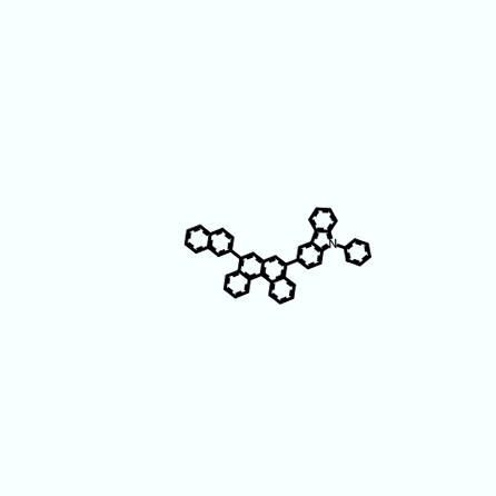 c1ccc(-n2c3ccccc3c3cc(-c4cc5cc(-c6ccc7ccccc7c6)c6ccccc6c5c5ccccc45)ccc32)cc1